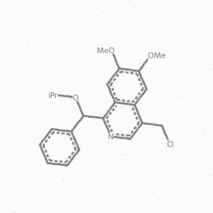 COc1cc2c(CCl)cnc(C(OC(C)C)c3ccccc3)c2cc1OC